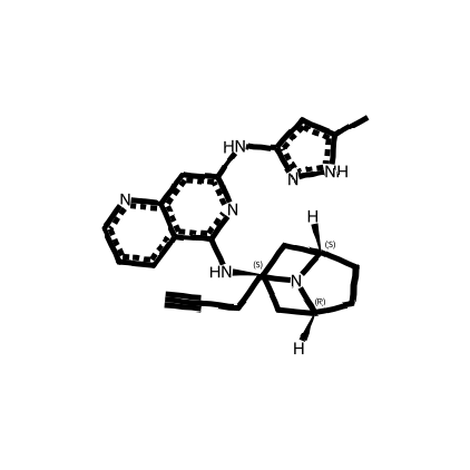 C#CCCN1[C@@H]2CC[C@H]1C[C@H](Nc1nc(Nc3cc(C)[nH]n3)cc3ncccc13)C2